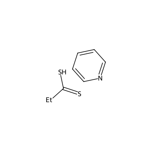 CCC(=S)S.c1ccncc1